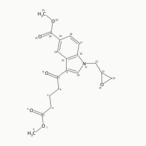 COC(=O)CCCC(=O)c1cn(CC2CO2)c2ccc(C(=O)OC)cc12